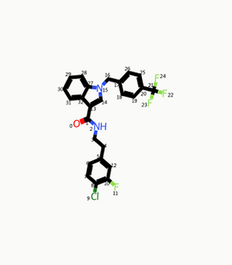 O=C(NCCc1ccc(Cl)c(F)c1)c1cn(Cc2ccc(C(F)(F)F)cc2)c2ccccc12